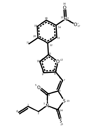 C=CCN1C(=O)/C(=C\c2ccc(-c3cc([N+](=O)[O-])ccc3C)o2)SC1=S